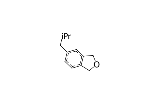 CC(C)Cc1ccc2c(c1)COC2